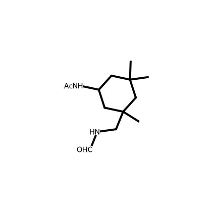 CC(=O)NC1CC(C)(C)CC(C)(CNC=O)C1